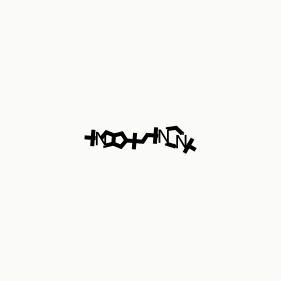 CC(C)(CCC(C)(C)N1CCCN(C(C)(C)C)CC1)C1CC2CN(C(C)(C)C)CC2C1